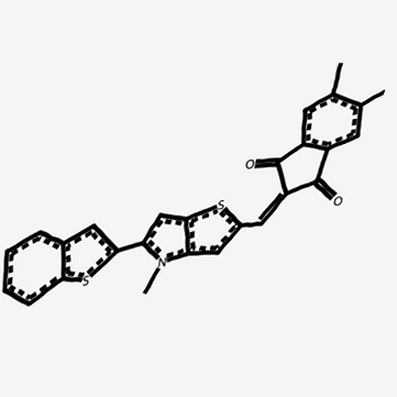 Cc1cc2c(cc1C)C(=O)C(=Cc1cc3c(cc(-c4cc5ccccc5s4)n3C)s1)C2=O